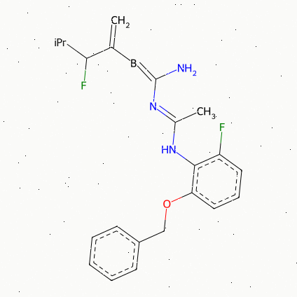 C=C(/B=C(N)\N=C(/C)Nc1c(F)cccc1OCc1ccccc1)C(F)C(C)C